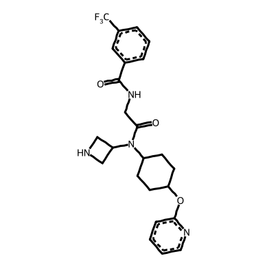 O=C(NCC(=O)N(C1CCC(Oc2ccccn2)CC1)C1CNC1)c1cccc(C(F)(F)F)c1